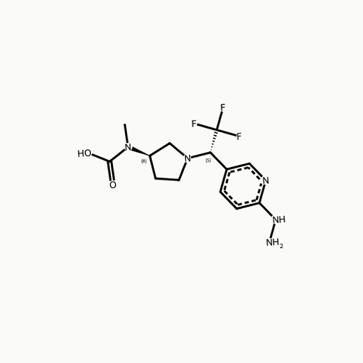 CN(C(=O)O)[C@@H]1CCN([C@@H](c2ccc(NN)nc2)C(F)(F)F)C1